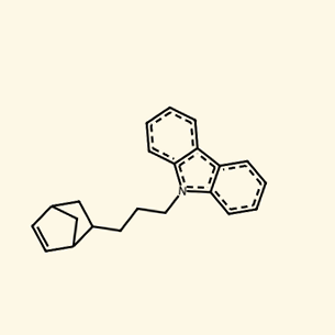 C1=CC2CC1CC2CCCn1c2ccccc2c2ccccc21